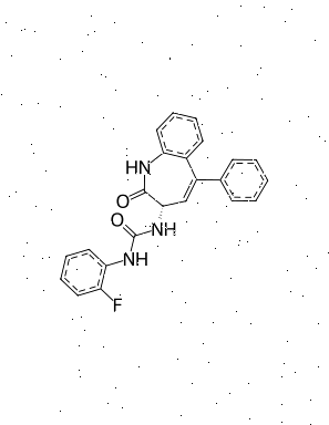 O=C(Nc1ccccc1F)N[C@H]1C=C(c2ccccc2)c2ccccc2NC1=O